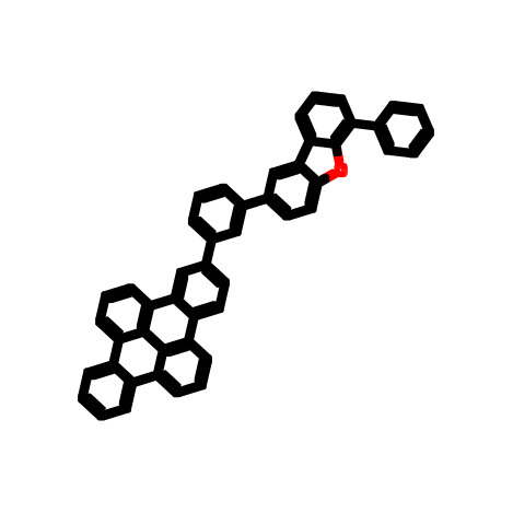 c1ccc(-c2cccc3c2oc2ccc(-c4cccc(-c5ccc6c(c5)c5cccc7c8ccccc8c8cccc6c8c75)c4)cc23)cc1